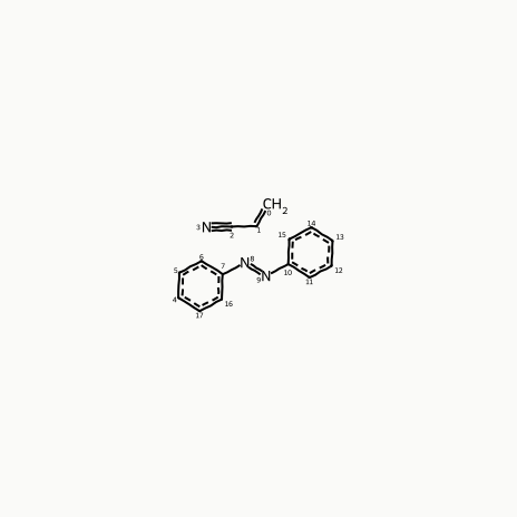 C=CC#N.c1ccc(/N=N/c2ccccc2)cc1